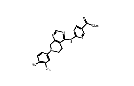 COC(=O)c1cnc(Nc2ncnc3c2CCN(c2ccc(C#N)c(C(F)(F)F)c2)C3)nc1